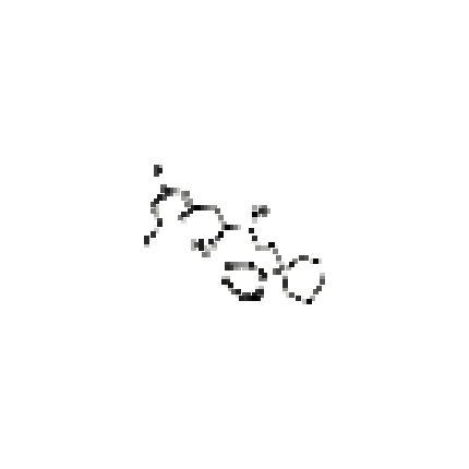 N[C@@H](Cc1cc(F)cc(F)c1)[C@H](O)CNC1(c2ccccc2)CCCCC1